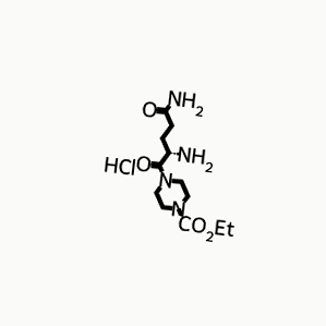 CCOC(=O)N1CCN(C(=O)[C@@H](N)CCC(N)=O)CC1.Cl